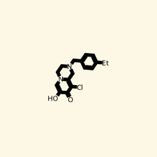 CCc1ccc(CN2CCn3cc(O)c(=O)c(Cl)c3C2)cc1